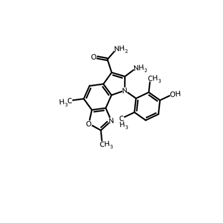 Cc1nc2c(o1)c(C)cc1c(C(N)=O)c(N)n(-c3c(C)ccc(O)c3C)c12